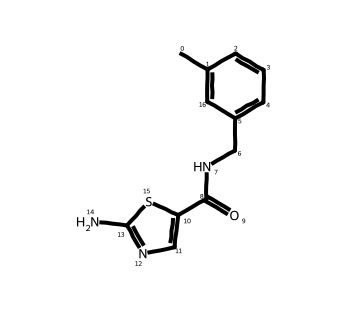 Cc1cccc(CNC(=O)c2cnc(N)s2)c1